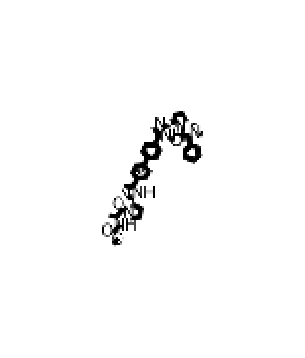 COC(=O)NC(C)C(=O)N1CCC[C@H]1c1ncc(C23CCC(c4ccc(-c5cnc([C@@H]6CCCN6C(=O)[C@@H](c6ccccc6)N(C)C)[nH]5)cc4)(CC2)CC3)[nH]1